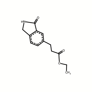 CCOC(=O)CCc1ccc2c(c1)C(=O)NC2